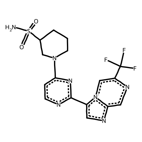 NS(=O)(=O)C1CCCN(c2ccnc(-c3cnc4cnc(C(F)(F)F)cn34)n2)C1